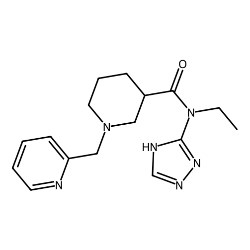 CCN(C(=O)C1CCCN(Cc2ccccn2)C1)c1nnc[nH]1